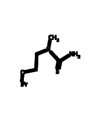 CC(C)OCCN(C)C(N)=S